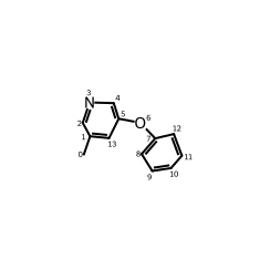 Cc1cncc(Oc2ccccc2)c1